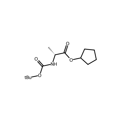 C[C@@H](NC(=O)OC(C)(C)C)C(=O)OC1CCCC1